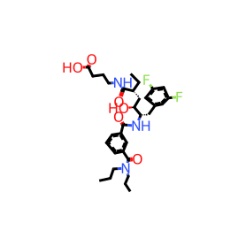 CCCN(CCC)C(=O)c1cccc(C(=O)N[C@@H](Cc2cc(F)cc(F)c2)[C@@H](O)C[C@@H](CC)C(=O)NCCCC(=O)O)c1